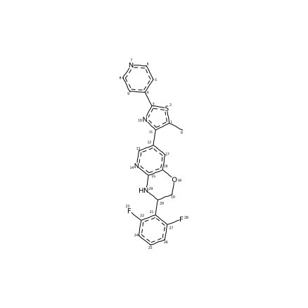 Cc1sc(-c2ccncc2)nc1-c1cnc2c(c1)OCC(c1c(F)cccc1F)N2